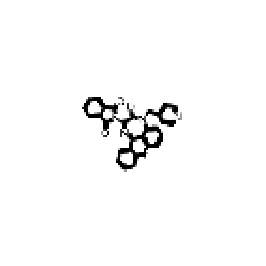 O=C1[C@H](N2C(=O)c3ccccc3C2=O)N=C(c2ccccc2F)c2ccccc2N1Cc1ccncc1